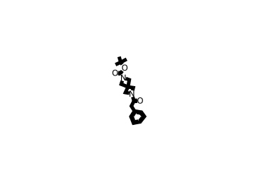 CC(C)(C)OC(=O)N1CC2(CN(C(=O)Cc3ccccc3)C2)C1